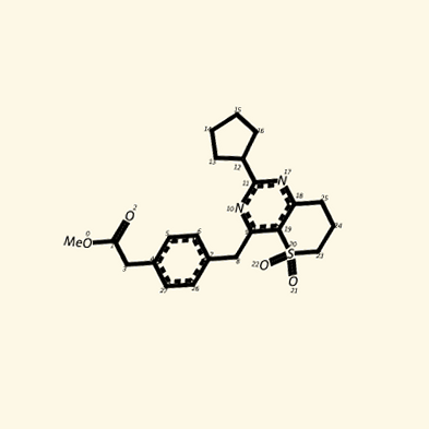 COC(=O)Cc1ccc(Cc2nc(C3CCCC3)nc3c2S(=O)(=O)CCC3)cc1